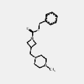 CN1CCN(CC2CN(C(=O)OCc3ccccc3)C2)CC1